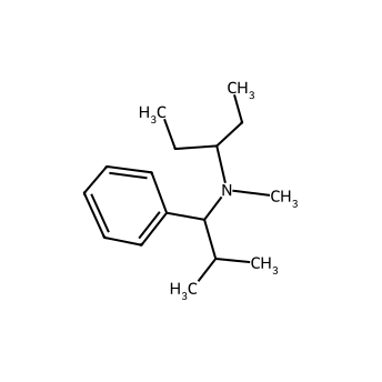 CCC(CC)N(C)C(c1ccccc1)C(C)C